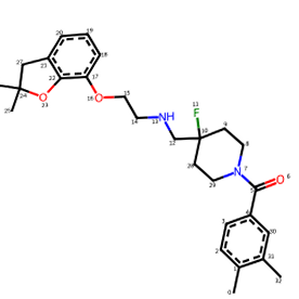 Cc1ccc(C(=O)N2CCC(F)(CNCCOc3cccc4c3OC(C)(C)C4)CC2)cc1C